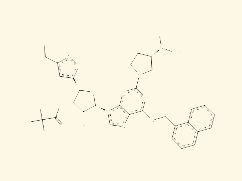 CCc1cc([C@H]2O[C@@H](n3cnc4c(NCc5cccc6ccccc56)nc(N5CC[C@@H](N(C)C)C5)nc43)[C@H](O)[C@@H]2OC(=O)C(F)(F)F)on1